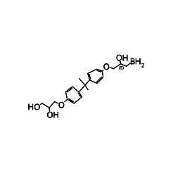 BC[C@H](O)COc1ccc(C(C)(C)c2ccc(OCC(O)CO)cc2)cc1